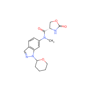 CN(C(=O)[C@@H]1COC(=O)N1)c1ccc2cnn(C3CCCCO3)c2c1